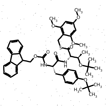 COc1cc(OC)c(CSC(=O)[C@@H](NC(=O)[C@H](Cc2ccc(OC(C)(C)C)cc2)NC(=O)OCC2c3ccccc3-c3ccccc32)[C@@H](C)OC(C)(C)C)c(OC)c1